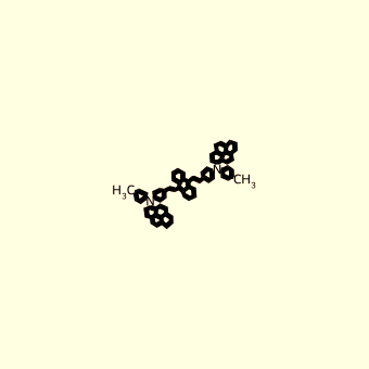 Cc1ccc(N(c2ccc(C=Cc3c4ccccc4c(C=Cc4ccc(N(c5ccc(C)cc5)c5ccc6ccc7cccc8ccc5c6c78)cc4)c4ccccc34)cc2)c2ccc3c4c5c(ccc24)C=CCC5=CC3)cc1